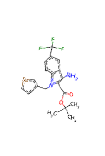 CC(C)(C)OC(=O)c1c(N)c2cc(C(F)(F)F)ccc2n1Cc1ccsc1